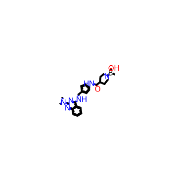 CB(O)N1CCC(C(=O)Nc2ccc(CNc3nc(N(C)C)nc4ccccc34)cc2)CC1